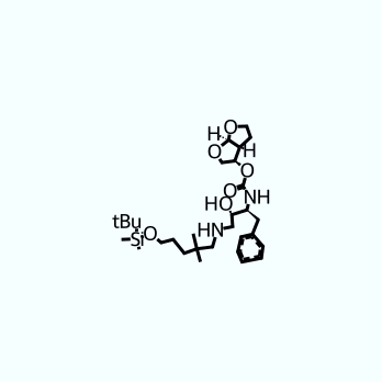 CC(C)(CCCO[Si](C)(C)C(C)(C)C)CNC[C@H](O)[C@H](Cc1ccccc1)NC(=O)O[C@H]1CO[C@H]2OCC[C@H]21